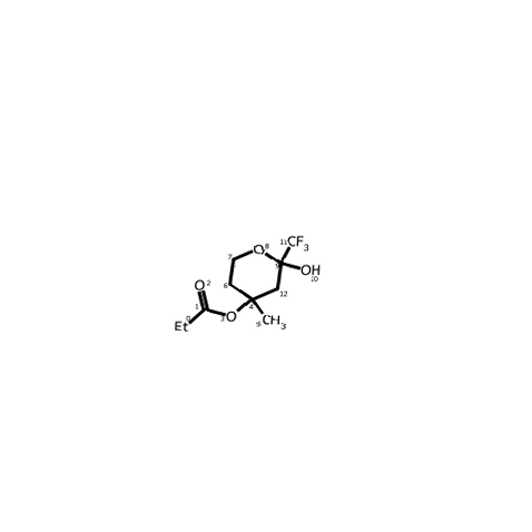 CCC(=O)OC1(C)CCOC(O)(C(F)(F)F)C1